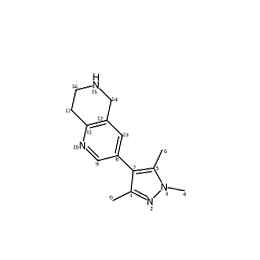 Cc1nn(C)c(C)c1-c1cnc2c(c1)CNCC2